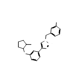 CC1[CH]CCC1Nc1cccc(-c2cn(Cc3cccc(Cl)c3)nn2)c1